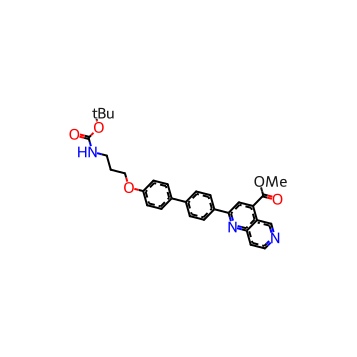 COC(=O)c1cc(-c2ccc(-c3ccc(OCCCNC(=O)OC(C)(C)C)cc3)cc2)nc2ccncc12